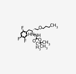 CCCCOCC[C@@H](Cc1cc(F)c(F)cc1F)NNC(=O)OC(C)(C)C